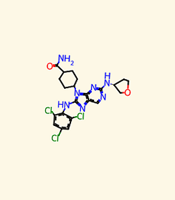 NC(=O)C1CCC(n2c(Nc3c(Cl)cc(Cl)cc3Cl)nc3cnc(N[C@@H]4CCOC4)nc32)CC1